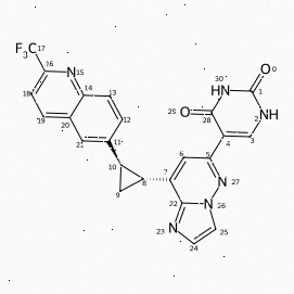 O=c1[nH]cc(-c2cc([C@@H]3C[C@H]3c3ccc4nc(C(F)(F)F)ccc4c3)c3nccn3n2)c(=O)[nH]1